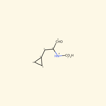 O=CC(CC1CC1)NC(=O)O